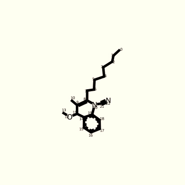 CCCCCCCCC1=C(C)C(OC)c2ccccc2N1C#N